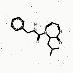 CC(C)CC1C(=O)N=CC=CN1C(=O)[C@@H](N)Cc1ccccc1